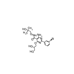 CC(C)(O)CONC(=O)c1c(N)nc(-c2cccc(C#N)c2)nc1OCC(O)CO